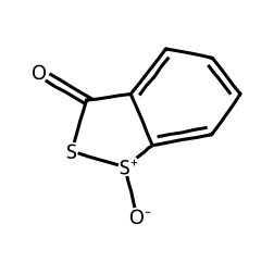 O=c1s[s+]([O-])c2ccccc12